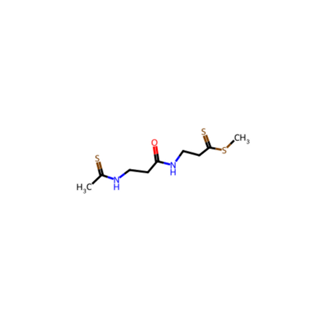 CSC(=S)CCNC(=O)CCNC(C)=S